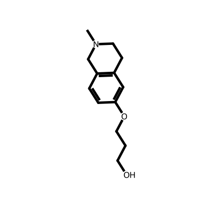 CN1CCc2cc(OCCCO)ccc2C1